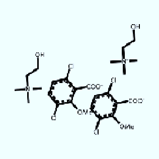 COc1c(Cl)ccc(Cl)c1C(=O)[O-].COc1c(Cl)ccc(Cl)c1C(=O)[O-].C[N+](C)(C)CCO.C[N+](C)(C)CCO